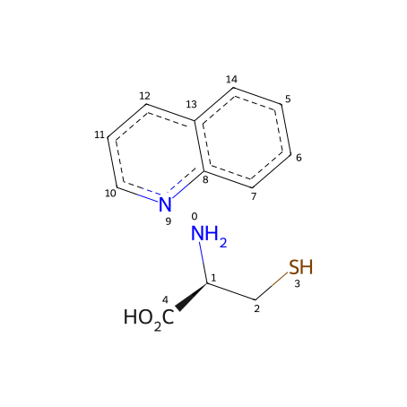 N[C@@H](CS)C(=O)O.c1ccc2ncccc2c1